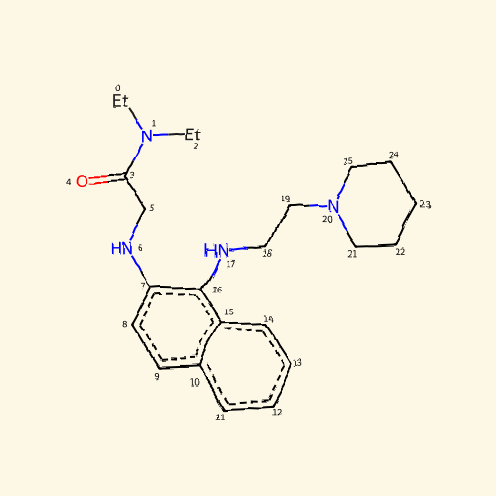 CCN(CC)C(=O)CNc1ccc2ccccc2c1NCCN1CCCCC1